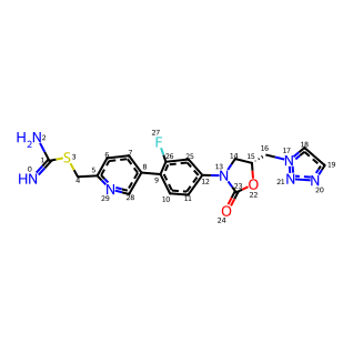 N=C(N)SCc1ccc(-c2ccc(N3C[C@H](Cn4ccnn4)OC3=O)cc2F)cn1